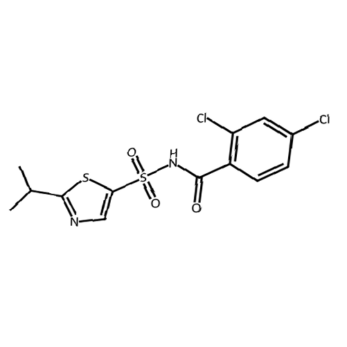 CC(C)c1ncc(S(=O)(=O)NC(=O)c2ccc(Cl)cc2Cl)s1